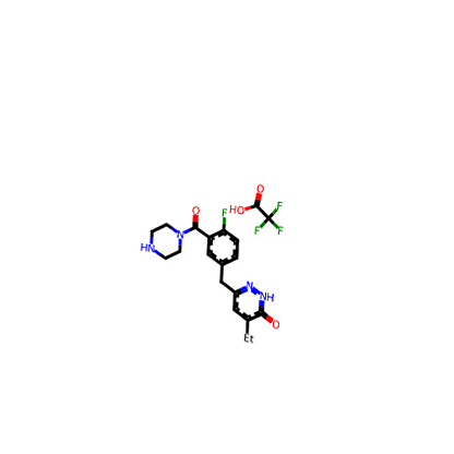 CCc1cc(Cc2ccc(F)c(C(=O)N3CCNCC3)c2)n[nH]c1=O.O=C(O)C(F)(F)F